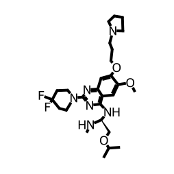 CN[C@H](COC(C)C)Nc1nc(N2CCC(F)(F)CC2)nc2cc(OCCCN3CCCC3)c(OC)cc12